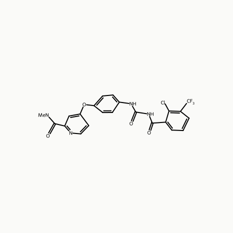 CNC(=O)c1cc(Oc2ccc(NC(=O)NC(=O)c3cccc(C(F)(F)F)c3Cl)cc2)ccn1